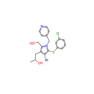 CC(O)Cc1c(C(C)C)c(Sc2cccc(Cl)c2)n(Cc2ccncc2)c1CO